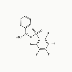 CCCC[S+](OS(=O)(=O)c1c(F)c(F)c(F)c(F)c1F)c1ccccc1